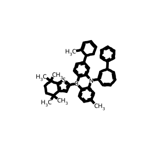 CC1=CC=CCC1c1ccc2c(c1)N(C1=CC(c3ccccc3)C=CC=C1)c1cc(C)ccc1B2c1cc2c(s1)C(C)(C)CCC2(C)C